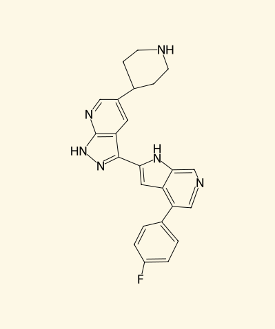 Fc1ccc(-c2cncc3[nH]c(-c4n[nH]c5ncc(C6CCNCC6)cc45)cc23)cc1